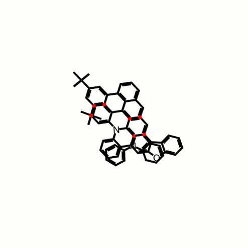 CC(C)(C)c1cc(-c2cccc3cccc(-c4ccccc4N(c4ccccc4-c4ccc5c(c4)oc4ccccc45)c4cccc5c6c(n(-c7ccccc7)c45)CCC=C6)c23)cc(C(C)(C)C)c1